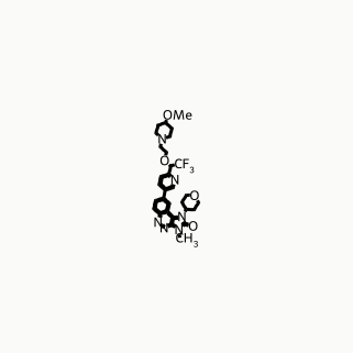 COC1CCN(CCOC(c2ccc(-c3ccc4nnc5c(c4c3)n(C3CCOCC3)c(=O)n5C)cn2)C(F)(F)F)CC1